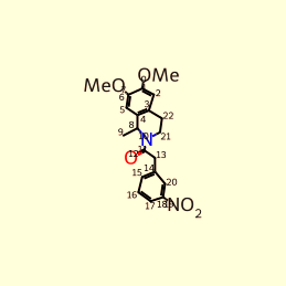 COc1cc2c(cc1OC)C(C)N(C(=O)Cc1cccc([N+](=O)[O-])c1)CC2